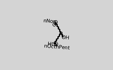 CCCCCCCCCOC(=O)CCCCCCCN(CCO)CCCCCCCC(O)OC(CCCCC)CCCCCCCC